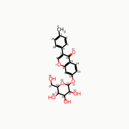 Cc1ccc(-c2coc3cc(OC4OC(CO)C(O)C(O)C4O)ccc3c2=O)cc1